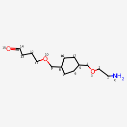 NCCOCC1CCC(COCCCC=O)CC1